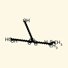 CCCC(C)CC(C)CCCCCCCCCCCCCC(=O)OCC(COC(=O)CCCCCCCCCCCCCCCC(O)CO)OC(=O)CCCCCCCCCCCCCCCCCCO